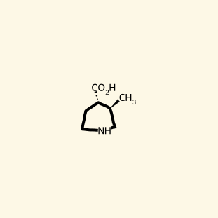 C[C@H]1CNCC[C@@H]1C(=O)O